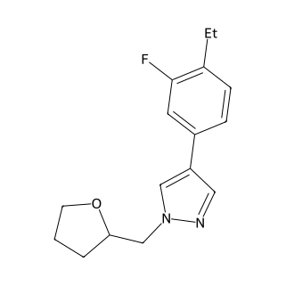 CCc1ccc(-c2cnn(CC3CCCO3)c2)cc1F